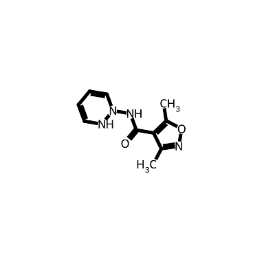 Cc1noc(C)c1C(=O)NN1C=CC=CN1